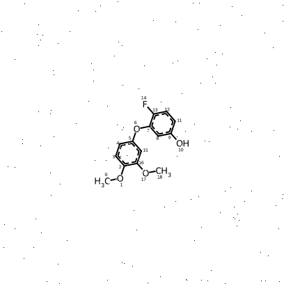 COc1ccc(Oc2cc(O)ccc2F)cc1OC